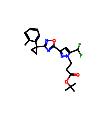 Cc1ccccc1C1(c2noc(-c3cc(C(F)F)n(CCC(=O)OC(C)(C)C)n3)n2)CC1